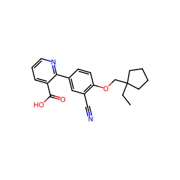 CCC1(COc2ccc(-c3ncccc3C(=O)O)cc2C#N)CCCC1